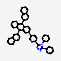 c1ccc(-c2nnc(-c3ccc(-c4ccc5c(-c6ccc7ccccc7c6)c6ccccc6c(-c6ccc7ccccc7c6)c5c4)cc3)n2-c2ccccc2)cc1